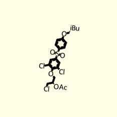 CC[C@@H](C)COc1ccc(S(=O)(=O)c2cc(Cl)c(OC[C@@H](CCl)OC(C)=O)c(Cl)c2)cc1